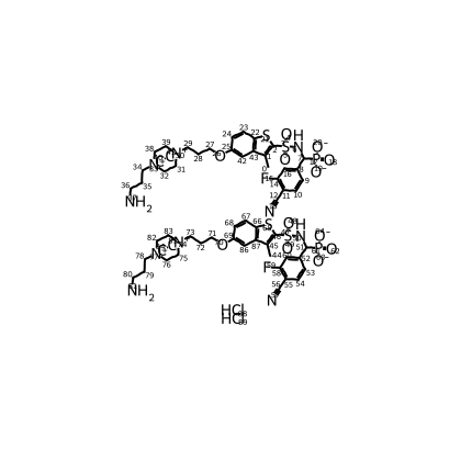 Cc1c(S(=O)(=O)NC(c2ccc(C#N)c(F)c2)P(=O)([O-])[O-])sc2ccc(OCCC[N+]34CC[N+](CCCN)(CC3)CC4)cc12.Cc1c(S(=O)(=O)NC(c2ccc(C#N)c(F)c2)P(=O)([O-])[O-])sc2ccc(OCCC[N+]34CC[N+](CCCN)(CC3)CC4)cc12.Cl.Cl